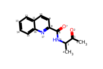 CC(=O)C(C)NC(=O)c1ccc2ccccc2n1